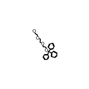 [O]CCOCCOCCOC(c1ccccc1)(c1ccccc1)c1ccccc1